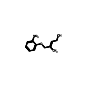 CC(=CCO)COc1ccccc1[N+](=O)[O-]